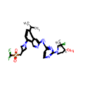 CC(C)c1ccc(N2CC(CS(=O)(=O)C(F)F)C2)c2cnc(Nc3ccnc(N4CC[C@@H](O)[C@@](C)(F)C4)n3)cc12